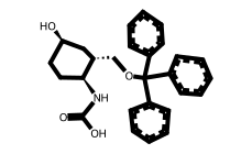 O=C(O)N[C@H]1CC[C@@H](O)C[C@@H]1COC(c1ccccc1)(c1ccccc1)c1ccccc1